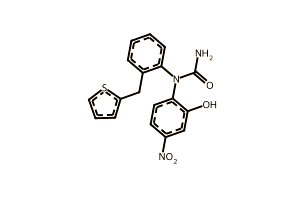 NC(=O)N(c1ccc([N+](=O)[O-])cc1O)c1ccccc1Cc1cccs1